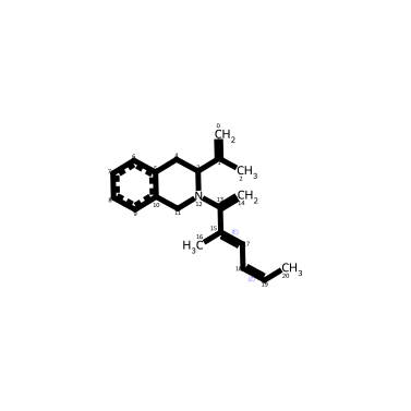 C=C(C)C1Cc2ccccc2CN1C(=C)/C(C)=C/C=C\C